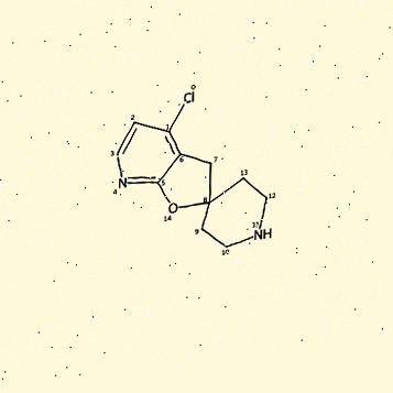 Clc1ccnc2c1CC1(CCNCC1)O2